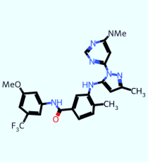 CNc1cc(-n2nc(C)cc2Nc2cc(C(=O)Nc3cc(OC)cc(C(F)(F)F)c3)ccc2C)ncn1